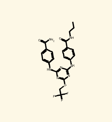 CCCNC(=O)c1ccc(Nc2nc(Nc3ccc(C(N)=O)cc3)nc(OCC(F)(F)F)n2)cc1